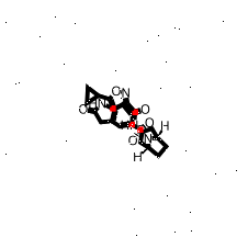 O=C1Cc2cc(S(=O)(=O)N3[C@@H]4CC[C@H]3C[C@@H](NC(=O)c3cc(C5CC5)on3)C4)ccc2N1